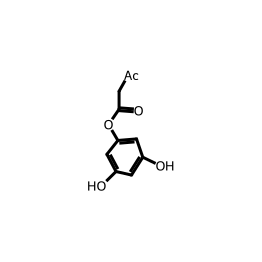 CC(=O)CC(=O)Oc1cc(O)cc(O)c1